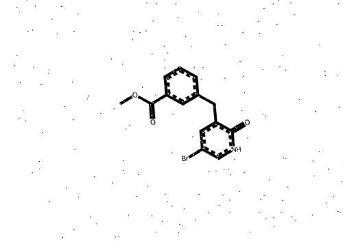 COC(=O)c1cccc(Cc2cc(Br)c[nH]c2=O)c1